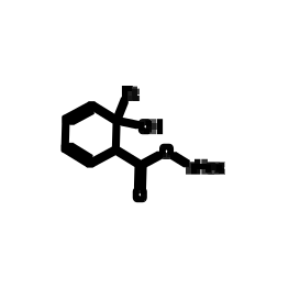 CCCCCCOC(=O)C1C=CC=CC1(O)CC